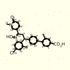 Cc1cc(C(=O)O)ccc1-c1ccc(C(CC(=NO)c2ccc(=O)n(C)c2)c2ccc(Cl)cc2F)cc1